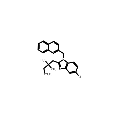 CCOC(=O)CC(C)(C)Cc1nc2cc(Cl)ccc2n1Cc1ccc2ccccc2c1